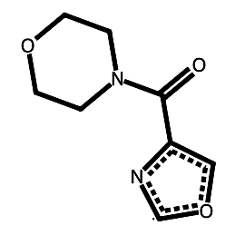 O=C(c1co[c]n1)N1CCOCC1